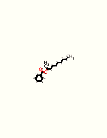 C=C(CCCCCCCC)OC(=O)c1ccccc1